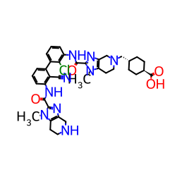 Cn1c(C(=O)Nc2cccc(-c3cccc(NC(=O)c4nc5c(n4C)CCNC5)c3C#N)c2Cl)nc2c1CCN(C[C@H]1CC[C@H](C(=O)O)CC1)C2